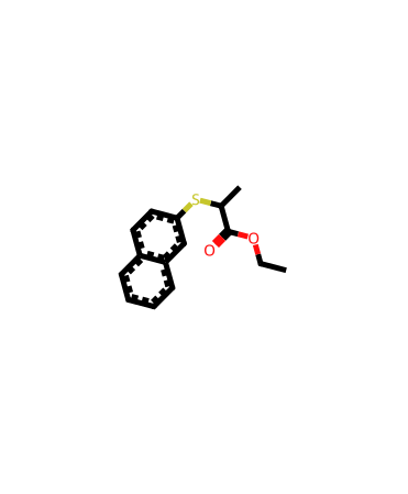 CCOC(=O)C(C)Sc1ccc2ccccc2c1